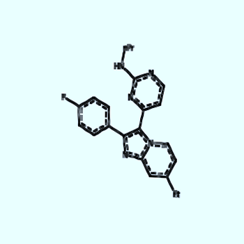 CCCNc1nccc(-c2c(-c3ccc(F)cc3)nc3cc(CC)ccn23)n1